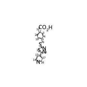 O=C(O)Cc1ccc(CSc2nnc(-c3ccncc3)s2)cc1